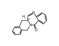 O=C1c2ccccc2N=C[C@@H]2Cc3ccccc3CN12